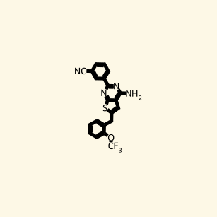 N#Cc1cccc(-c2nc(N)c3cc(Cc4ccccc4OC(F)(F)F)sc3n2)c1